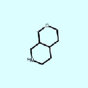 [CH]1OCCC2CCNCC12